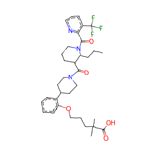 CCCC1C(C(=O)N2CCC(c3ccccc3OCCCC(C)(C)C(=O)O)CC2)CCCN1C(=O)c1ncccc1C(F)(F)F